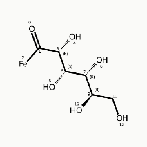 O=[C]([Fe])[C@H](O)[C@@H](O)[C@H](O)[C@H](O)CO